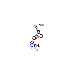 COC(=O)/C=C/c1cccc(N(Cc2ccc(-c3ccc4nc(C)n(C)c4c3)cc2)C(=O)C2CCCCC2)c1